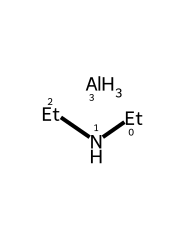 CCNCC.[AlH3]